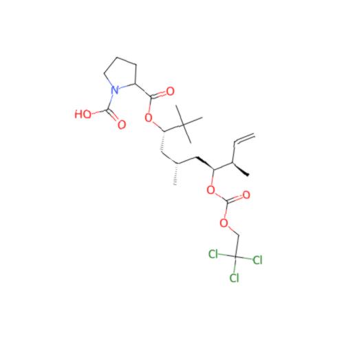 C=C[C@@H](C)[C@H](C[C@H](C)C[C@H](OC(=O)C1CCCN1C(=O)O)C(C)(C)C)OC(=O)OCC(Cl)(Cl)Cl